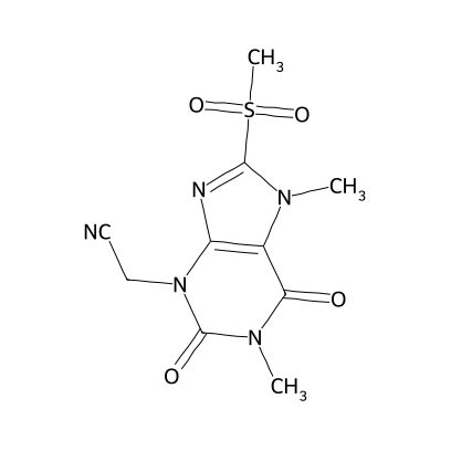 Cn1c(=O)c2c(nc(S(C)(=O)=O)n2C)n(CC#N)c1=O